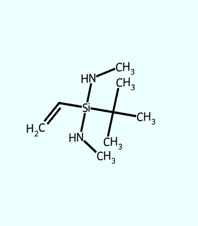 C=C[Si](NC)(NC)C(C)(C)C